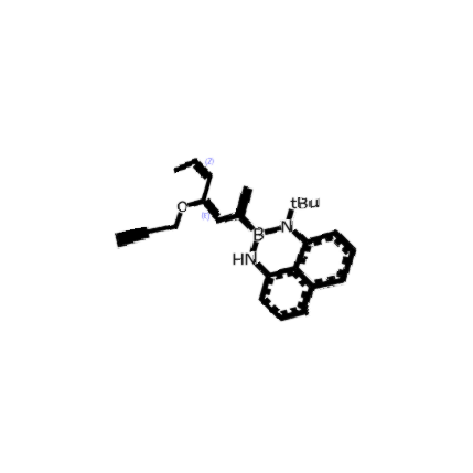 C#CCOC(/C=C\C)=C/C(=C)B1Nc2cccc3cccc(c23)N1C(C)(C)C